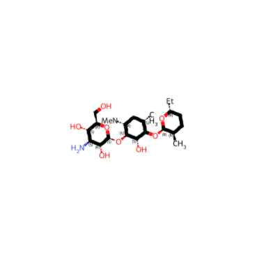 CC[C@@H]1CC[C@@H](C)[C@@H](OC2[C@@H](C)C[C@@H](NC)[C@H](O[C@H]3O[C@H](CO)[C@@H](O)[C@H](N)[C@H]3O)[C@H]2O)O1